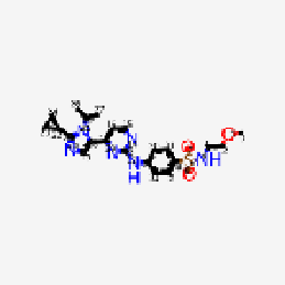 COCCNS(=O)(=O)c1ccc(Nc2nccc(-c3cnc(C4CC4)n3C(C)C)n2)cc1